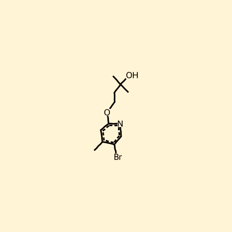 Cc1cc(OCCC(C)(C)O)ncc1Br